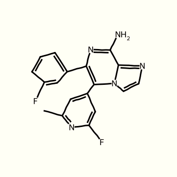 Cc1cc(-c2c(-c3cccc(F)c3)nc(N)c3nccn23)cc(F)n1